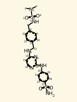 CN(C)S(=O)(=O)NCc1ccc(CNc2ccnc(Nc3ccc(S(N)(=O)=O)cc3)n2)cc1